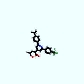 CC(C)CC(C(=O)O)c1cc(-c2ccc(C(C)C)cc2)nc(-c2ccc(C(F)(F)F)cc2)c1